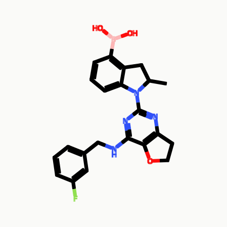 CC1Cc2c(B(O)O)cccc2N1c1nc2c(c(NCc3cccc(F)c3)n1)OCC2